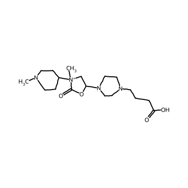 CN1CCC([N+]2(C)CC(N3CCN(CCCC(=O)O)CC3)OC2=O)CC1